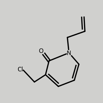 C=CCn1cccc(CCl)c1=O